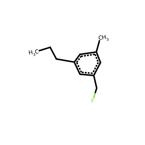 CCCc1cc(C)cc(CF)c1